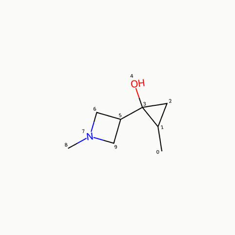 CC1CC1(O)C1CN(C)C1